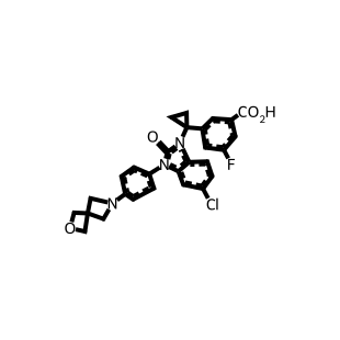 O=C(O)c1cc(F)cc(C2(n3c(=O)n(-c4ccc(N5CC6(COC6)C5)cc4)c4cc(Cl)ccc43)CC2)c1